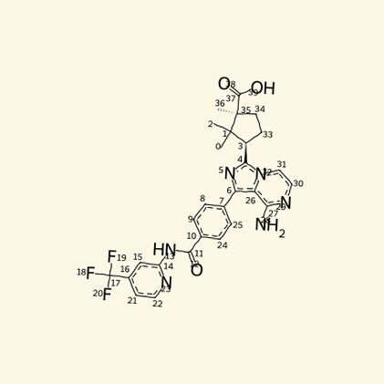 CC1(C)[C@H](c2nc(-c3ccc(C(=O)Nc4cc(C(F)(F)F)ccn4)cc3)c3c(N)nccn23)CC[C@]1(C)C(=O)O